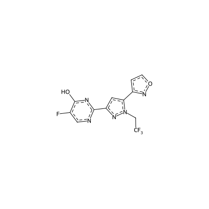 Oc1nc(-c2cc(-c3ccon3)n(CC(F)(F)F)n2)ncc1F